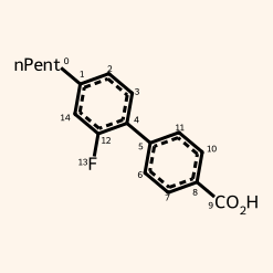 CCCCCc1ccc(-c2ccc(C(=O)O)cc2)c(F)c1